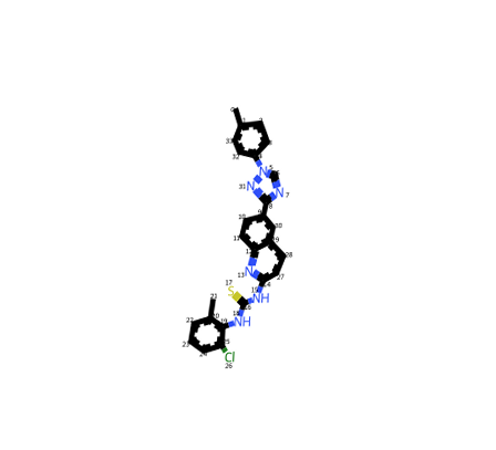 Cc1ccc(-n2cnc(-c3ccc4nc(NC(=S)Nc5c(C)cccc5Cl)ccc4c3)n2)cc1